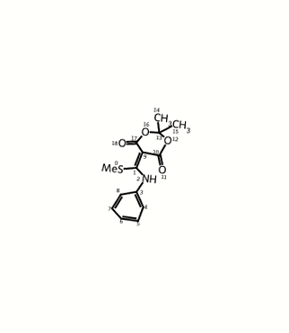 CSC(Nc1ccccc1)=C1C(=O)OC(C)(C)OC1=O